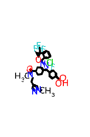 CN(CCc1cnn(C)c1)C(=O)C1CCc2c(-c3ccc(C(=O)O)cc3F)nn(C(=O)c3c(Cl)cccc3C3(C(F)(F)F)CC3)c2C1